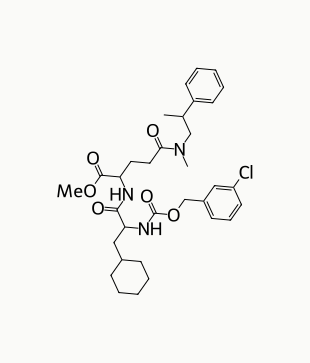 COC(=O)C(CCC(=O)N(C)CC(C)c1ccccc1)NC(=O)C(CC1CCCCC1)NC(=O)OCc1cccc(Cl)c1